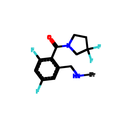 CC(C)NCc1cc(F)cc(F)c1C(=O)N1CCC(F)(F)C1